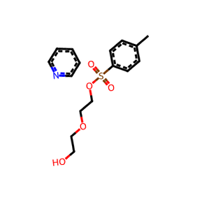 Cc1ccc(S(=O)(=O)OCCOCCO)cc1.c1ccncc1